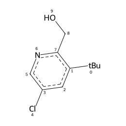 CC(C)(C)c1cc(Cl)cnc1CO